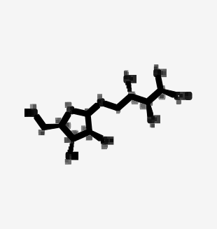 O=C[C@H](O)[C@@H](O)[C@@H](O)COC1O[C@H](CO)[C@@H](O)[C@@H]1O